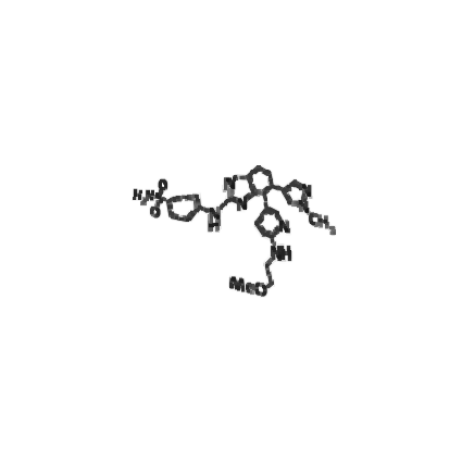 COCCNc1ccc(-c2c(-c3cnn(C)c3)ccc3cnc(Nc4ccc(S(N)(=O)=O)cc4)nc23)cn1